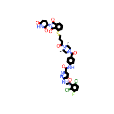 CC(Oc1cc(C(=O)Nc2ccc(C(=O)N3C[C@@H](C)N(C(=O)CCCSc4cccc5c4C(=O)N(C4CCC(=O)NC4=O)C5=O)[C@@H](C)C3)cc2)nnc1N)c1c(Cl)ccc(F)c1Cl